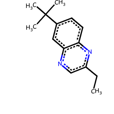 CCc1cnc2cc(C(C)(C)C)ccc2n1